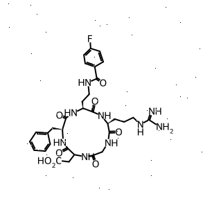 N=C(N)NCCC[C@@H]1NC(=O)[C@H](CCNC(=O)c2ccc(F)cc2)NC(=O)[C@H](Cc2ccccc2)NC(=O)C(CC(=O)O)NC(=O)CNC1=O